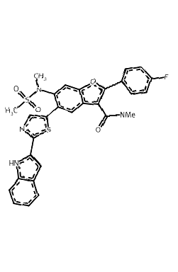 CNC(=O)c1c(-c2ccc(F)cc2)oc2cc(N(C)S(C)(=O)=O)c(-c3cnc(-c4cc5ccccc5[nH]4)s3)cc12